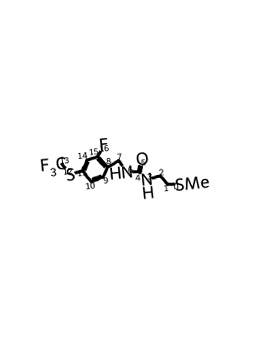 CSCCNC(=O)NCc1ccc(SC(F)(F)F)cc1F